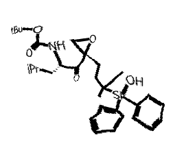 CC(C)C[C@H](NC(=O)OC(C)(C)C)C(=O)[C@]1(CCC(C)(C)[Si](O)(c2ccccc2)c2ccccc2)CO1